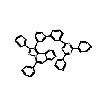 c1ccc(-c2nc(-c3ccccc3)nc(-c3cccc(-c4cccc(-c5c(-c6ccccc6)nn6c(-c7ccccc7)cc7ccccc7c56)c4)c3)n2)cc1